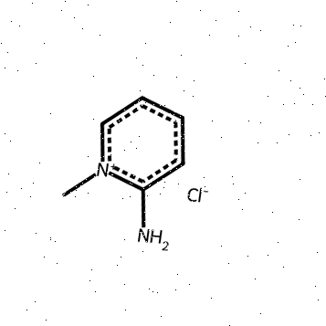 C[n+]1ccccc1N.[Cl-]